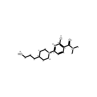 CN(C)C(=O)c1ccc(N2CCC(CCCO)CC2)nc1Cl